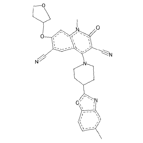 Cc1ccc2oc(C3CCN(c4c(C#N)c(=O)n(C)c5cc(OC6CCOC6)c(C#N)cc45)CC3)nc2c1